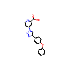 O=C(O)c1cc(-n2cc(-c3ccc(Oc4ccccc4)cc3)nn2)ccn1